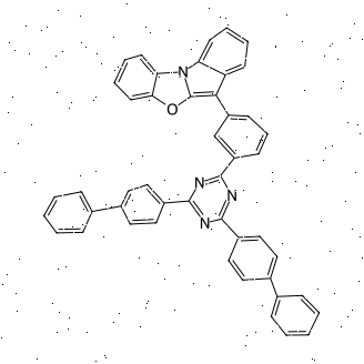 c1ccc(-c2ccc(-c3nc(-c4ccc(-c5ccccc5)cc4)nc(-c4cccc(-c5c6ccccc6n6c5oc5ccccc56)c4)n3)cc2)cc1